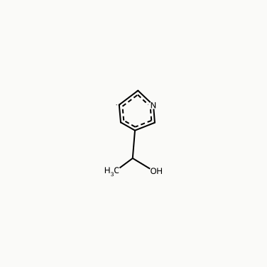 CC(O)c1c[c]cnc1